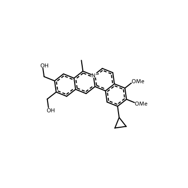 COc1c(C2CC2)cc2c(cc[n+]3c(C)c4cc(CO)c(CO)cc4cc23)c1OC